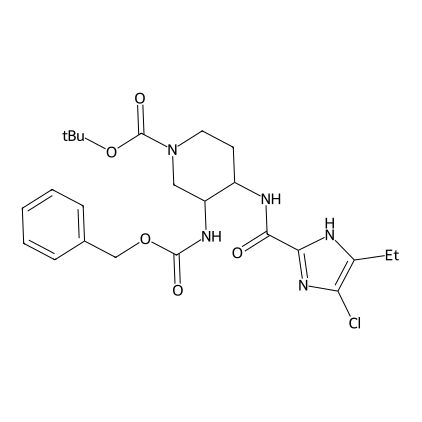 CCc1[nH]c(C(=O)NC2CCN(C(=O)OC(C)(C)C)CC2NC(=O)OCc2ccccc2)nc1Cl